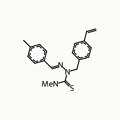 C=Cc1ccc(CN(N=Cc2ccc(C)cc2)C(=S)NC)cc1